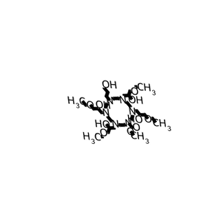 CCOCC(O)CN1CCN(CCCO)CCN(CC(O)COCC)CCN(CC(O)COCC)CCN(C(=O)OC)CCN(CC(O)COCC)CC1